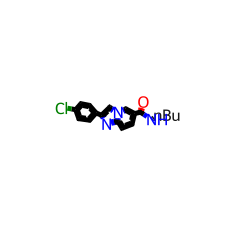 CCCCNC(=O)c1ccc2nc(-c3ccc(Cl)cc3)cn2c1